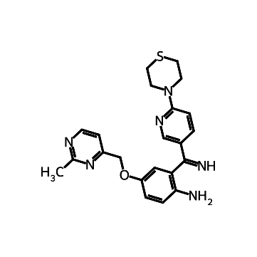 Cc1nccc(COc2ccc(N)c(C(=N)c3ccc(N4CCSCC4)nc3)c2)n1